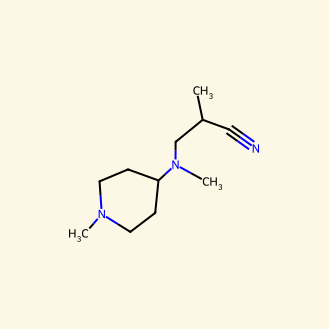 CC(C#N)CN(C)C1CCN(C)CC1